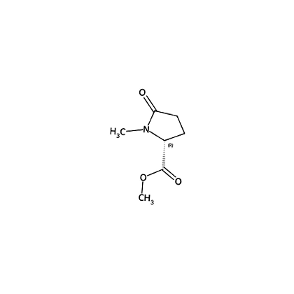 COC(=O)[C@H]1CCC(=O)N1C